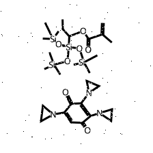 C=C(C)C(=O)OC(CC)[Si](O[Si](C)(C)C)(O[Si](C)(C)C)O[Si](C)(C)C.O=C1C=C(N2CC2)C(=O)C(N2CC2)=C1N1CC1